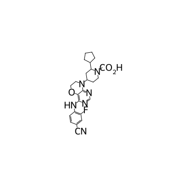 N#Cc1ccc(Nc2ncnc3c2OCCN3C2CCN(C(=O)O)C(C3CCCC3)C2)c(F)c1